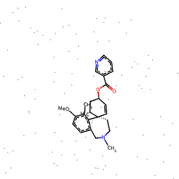 COc1ccc2c(c1C)[C@@]1(C=C[C@H](OC(=O)c3cccnc3)C[C@@H]1C)CCN(C)C2